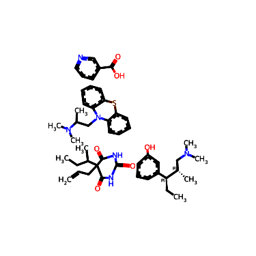 C=CCC1(C(C)CC)C(=O)NC(=O)NC1=O.CC(CN1c2ccccc2Sc2ccccc21)N(C)C.CC[C@@H](c1cccc(O)c1)[C@@H](C)CN(C)C.O=C(O)c1cccnc1